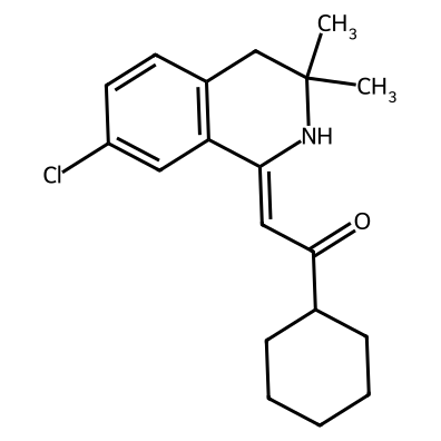 CC1(C)Cc2ccc(Cl)cc2C(=CC(=O)C2CCCCC2)N1